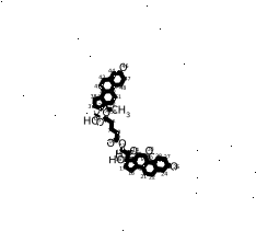 C#C[C@]1(OC(=O)CCCC(=O)OCC(=O)[C@@]2(O)CCC3C4CCC5=CC(=O)C=C[C@]5(C)C4C(=O)C[C@@]32C)CCC2C3CCC4=CC(=O)CCC4C3CC[C@@]21CC